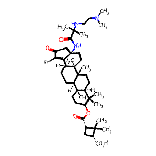 CC(C)C1=C2[C@H]3CC[C@@H]4[C@@]5(C)CC[C@H](OC(=O)[C@H]6C[C@@H](C(=O)O)C6(C)C)C(C)(C)[C@@H]5CC[C@@]4(C)[C@]3(C)CC[C@@]2(NC(=O)C(C)(C)NCCN(C)C)CC1=O